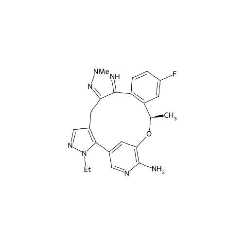 CCn1ncc2c1-c1cnc(N)c(c1)O[C@H](C)c1cc(F)ccc1C(=N)/C(=N\NC)C2